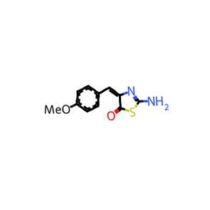 COc1ccc(/C=C2/N=C(N)SC2=O)cc1